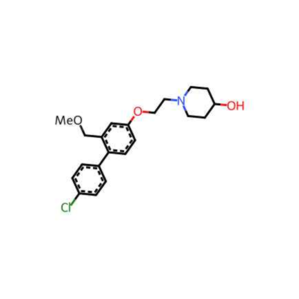 COCc1cc(OCCN2CCC(O)CC2)ccc1-c1ccc(Cl)cc1